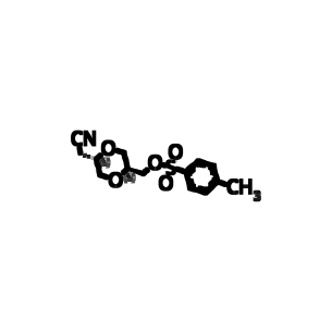 Cc1ccc(S(=O)(=O)OC[C@@H]2CO[C@@H](CC#N)CO2)cc1